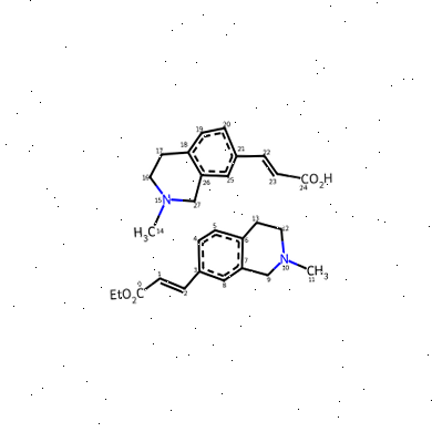 CCOC(=O)C=Cc1ccc2c(c1)CN(C)CC2.CN1CCc2ccc(C=CC(=O)O)cc2C1